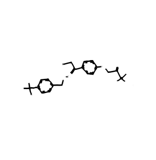 CC(C)(C)C(=O)COc1ccc(C(CI)=NOCc2ccc(C(F)(F)F)cc2)cc1